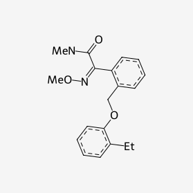 CCc1ccccc1OCc1ccccc1C(=NOC)C(=O)NC